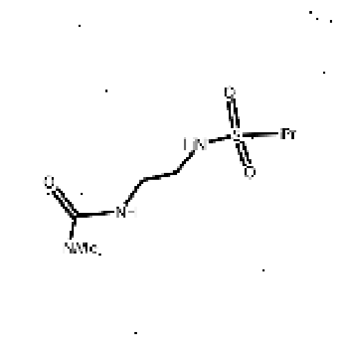 CNC(=O)NCCNS(=O)(=O)C(C)C